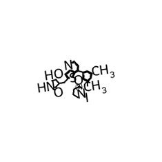 Cc1cc(C)c(O[C@H]2CCCN(I)C2)c(-c2ccnc3cc(CC4C(=O)NCC4O)sc23)c1